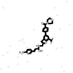 Nc1ccc(/C=C/C(O)NCc2cc3cc(-c4ccc(C(=O)N5CCOCC5)cc4)cc(C(F)F)c3o2)cn1